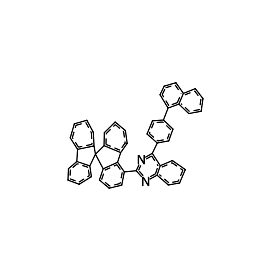 c1ccc2c(c1)-c1ccccc1C21c2ccccc2-c2c(-c3nc(-c4ccc(-c5cccc6ccccc56)cc4)c4ccccc4n3)cccc21